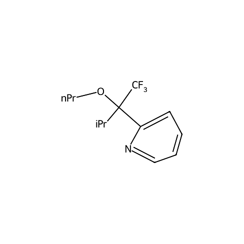 CCCOC(c1ccccn1)(C(C)C)C(F)(F)F